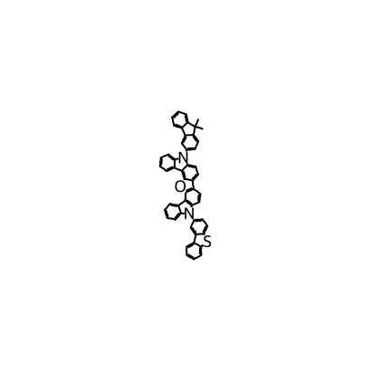 CC1(C)c2ccccc2-c2cc(-n3c4ccccc4c4c5oc6c(ccc7c6c6ccccc6n7-c6ccc7sc8ccccc8c7c6)c5ccc43)ccc21